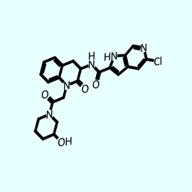 O=C(NC1Cc2ccccc2N(CC(=O)N2CCCC(O)C2)C1=O)c1cc2cc(Cl)ncc2[nH]1